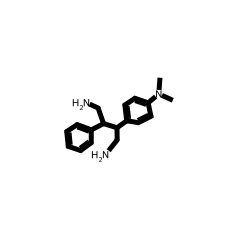 CN(C)c1ccc(C(CN)C(CN)c2ccccc2)cc1